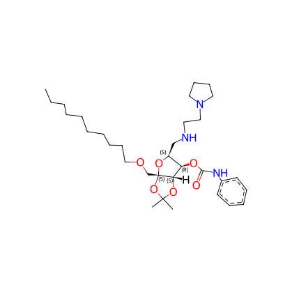 CCCCCCCCCCOC[C@@]12O[C@@H](CNCCN3CCCC3)[C@@H](OC(=O)Nc3ccccc3)[C@@H]1OC(C)(C)O2